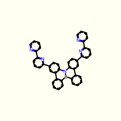 c1ccc(-c2cccc(-c3ccc4c(c3)-c3ccccc3B3c5ccccc5-c5cc(-c6cccc(-c7ccccn7)n6)ccc5N34)n2)nc1